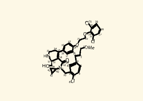 COCCCc1ccc(Cl)c(CN(C(=O)C2=C(c3ccc(OCCOc4c(Cl)cccc4Cl)cc3)CCN[C@@H]2CO)C2CC2)c1